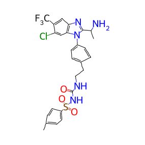 Cc1ccc(S(=O)(=O)NC(=O)NCCc2ccc(-n3c(C(C)N)nc4cc(C(F)(F)F)c(Cl)cc43)cc2)cc1